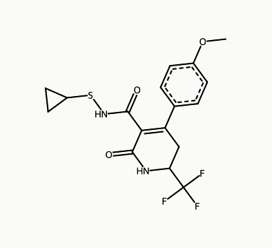 COc1ccc(C2=C(C(=O)NSC3CC3)C(=O)NC(C(F)(F)F)C2)cc1